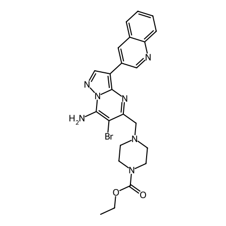 CCOC(=O)N1CCN(Cc2nc3c(-c4cnc5ccccc5c4)cnn3c(N)c2Br)CC1